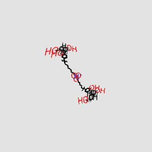 CC(C)(CCCCCCO[N+](=O)OCCCCCCC(C)(C)c1ccc([C@@H]2C[C@@H](O)C[C@@H]3CC[C@H](CO)C[C@H]32)c(O)c1)c1ccc([C@@H]2C[C@@H](O)C[C@@H]3CC[C@H](CO)C[C@H]32)c(O)c1